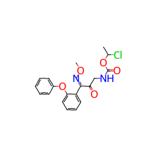 CON=C(C(=O)CNC(=O)OC(C)Cl)c1ccccc1Oc1ccccc1